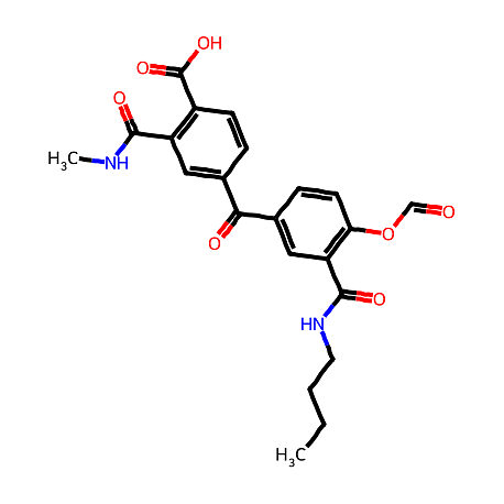 CCCCNC(=O)c1cc(C(=O)c2ccc(C(=O)O)c(C(=O)NC)c2)ccc1OC=O